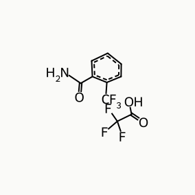 NC(=O)c1ccccc1C(F)(F)F.O=C(O)C(F)(F)F